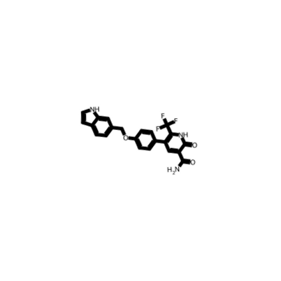 NC(=O)c1cc(-c2ccc(OCc3ccc4cc[nH]c4c3)cc2)c(C(F)(F)F)[nH]c1=O